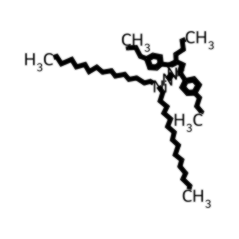 CCCCC1=C(c2ccc(CCCC)cc2)[N+](=[N-])C(c2ccc(CCCC)cc2)=C1.CCCCCCCCCCCCCCC[CH2][Ni][CH2]CCCCCCCCCCCCCCC